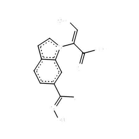 CO/C=C(/C(=O)C=O)n1ccc2ccc(/C(C)=N/O)cc21